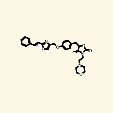 O=C1OC(Cc2ccc(OCc3coc(/C=C/c4ccccc4)n3)cc2)C(=O)N1CCN1CCOCC1